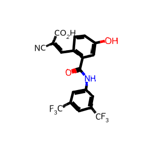 N#CC(=Cc1ccc(O)cc1C(=O)Nc1cc(C(F)(F)F)cc(C(F)(F)F)c1)C(=O)O